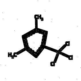 Cc1cc(C)cc(C(Cl)(Cl)Cl)c1